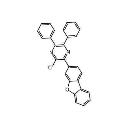 Clc1nc(-c2ccccc2)c(-c2ccccc2)nc1-c1ccc2c(c1)oc1ccccc12